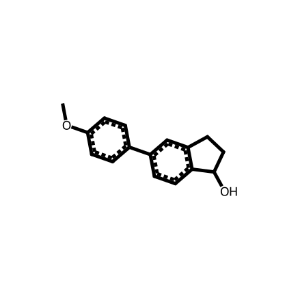 COc1ccc(-c2ccc3c(c2)CCC3O)cc1